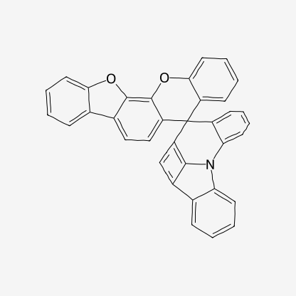 c1ccc2c(c1)Oc1c(ccc3c1oc1ccccc13)C21c2ccccc2-n2c3ccccc3c3cccc1c32